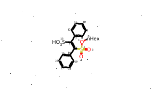 CCCCCCOS(=O)(=O)C(=C(c1ccccc1)S(=O)(=O)O)c1ccccc1